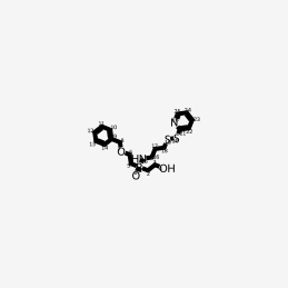 O=P(CCO)(CCOCc1ccccc1)NCCCSSc1ccccn1